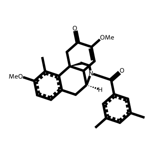 COC1=CC2[C@@H]3Cc4ccc(OC)c(C)c4[C@]2(CCN3C(=O)c2cc(C)cc(C)c2)CC1=O